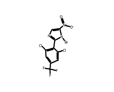 O=[N+]([O-])c1cnc(-c2c(Cl)cc(C(F)(F)F)cc2Cl)n1Br